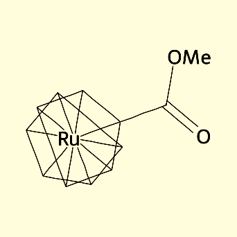 COC(=O)[C]12[CH]3[CH]4[CH]5[CH]1[Ru]45321678[CH]2[CH]1[CH]6[CH]7[CH]28